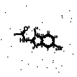 CC(=O)Nc1nc2cc(Br)ccc2n1C